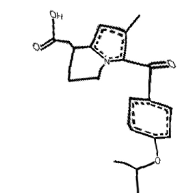 Cc1cc2n(c1C(=O)c1ccc(OC(C)C)cc1)CCC2C(=O)O